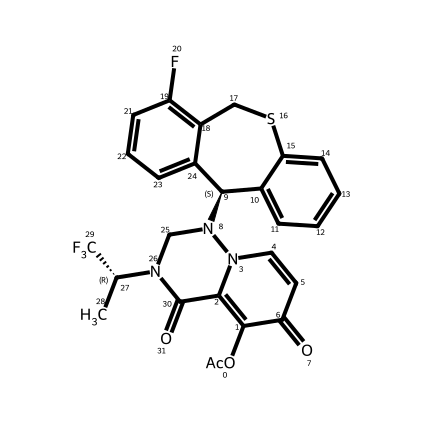 CC(=O)Oc1c2n(ccc1=O)N([C@@H]1c3ccccc3SCc3c(F)cccc31)CN([C@H](C)C(F)(F)F)C2=O